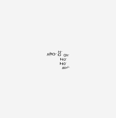 [Al+3].[Mn+2].[OH-].[OH-].[OH-].[OH-].[OH-]